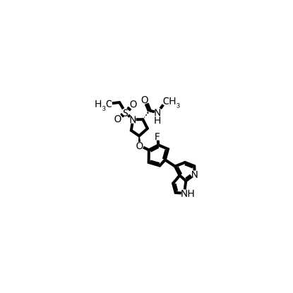 CCS(=O)(=O)N1C[C@H](Oc2ccc(-c3ccnc4[nH]ccc34)cc2F)C[C@H]1C(=O)NC